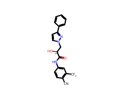 N#Cc1ccc(NC(=O)[C@@H](O)Cn2ccc(-c3ccccc3)n2)cc1C(F)(F)F